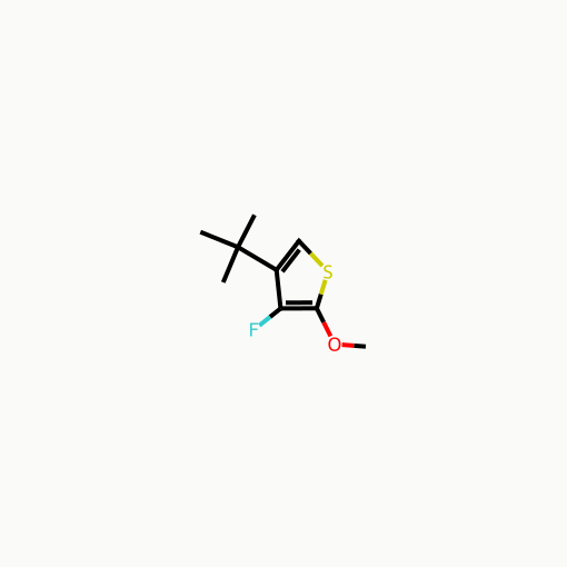 COc1scc(C(C)(C)C)c1F